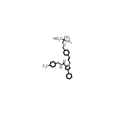 CC(C)(COCc1ccc(/C=C/Cn2cc(-c3ccccc3)cc2C(=O)NCc2ccc(C(F)(F)F)cc2)cc1)C(=O)O